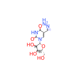 N/N=C\c1cn(C2O[C@H](CO)[C@@H](O)[C@H]2O)c(=O)[nH]c1=O